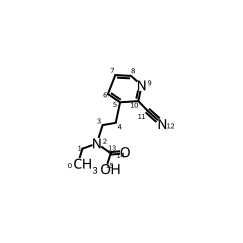 CCN(CCc1cccnc1C#N)C(=O)O